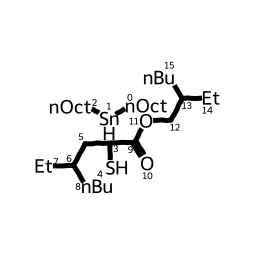 CCCCCCC[CH2][SnH]([CH2]CCCCCCC)[C](S)(CC(CC)CCCC)C(=O)OCC(CC)CCCC